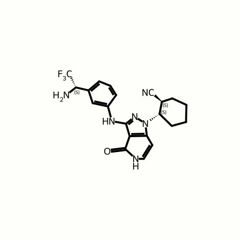 N#C[C@H]1CCCC[C@@H]1n1nc(Nc2cccc([C@H](N)C(F)(F)F)c2)c2c(=O)[nH]ccc21